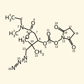 CCN(C)S(=O)(=O)CC(OC(=O)ON1C(=O)CCC1=O)C(C)(C)CN=[N+]=[N-]